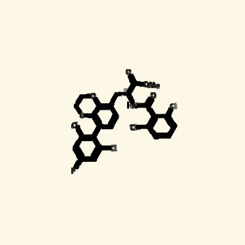 COC(=O)[C@H](Cc1ccc(-c2c(Cl)cc(F)cc2Cl)c2c1OCCO2)NC(=O)c1c(Cl)cccc1Cl